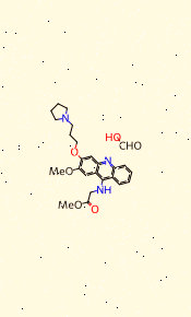 COC(=O)CNc1c2ccccc2nc2cc(OCCCN3CCCC3)c(OC)cc12.O=CO